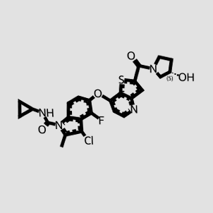 Cc1c(Cl)c2c(F)c(Oc3ccnc4cc(C(=O)N5CC[C@H](O)C5)sc34)ccc2n1C(=O)NC1CC1